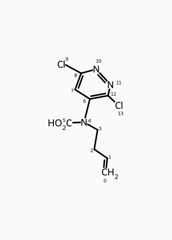 C=CCCN(C(=O)O)c1cc(Cl)nnc1Cl